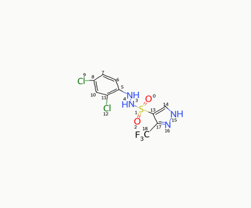 O=S(=O)(NNc1ccc(Cl)cc1Cl)c1c[nH]nc1C(F)(F)F